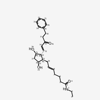 CCNC(=O)CCCC=CC[C@@H]1[C@@H](C=CC(=O)CCc2ccccc2)[C@H](O)C[C@@H]1O